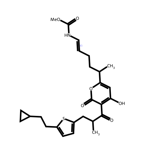 COC(=O)N/C=C/CCC(C)c1cc(O)c(C(=O)C(C)Cc2ccc(CCC3CC3)s2)c(=O)o1